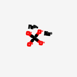 [Fe+3].[Na+].[O-][Si]([O-])([O-])[O-]